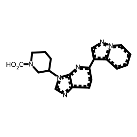 O=C(O)N1CCCC(n2cnc3ccc(-c4cnn5ccccc45)nc32)C1